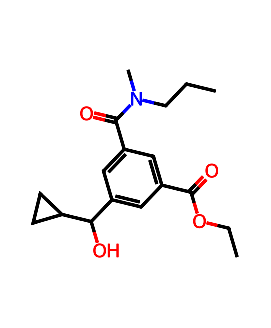 CCCN(C)C(=O)c1cc(C(=O)OCC)cc(C(O)C2CC2)c1